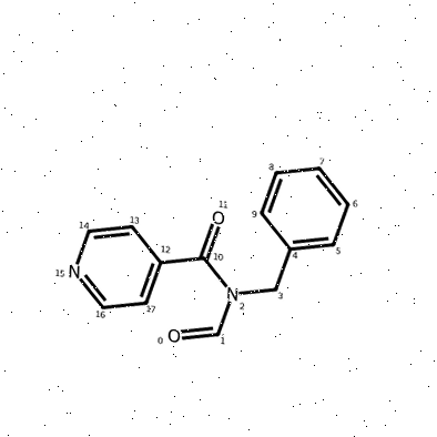 O=[C]N(Cc1ccccc1)C(=O)c1ccncc1